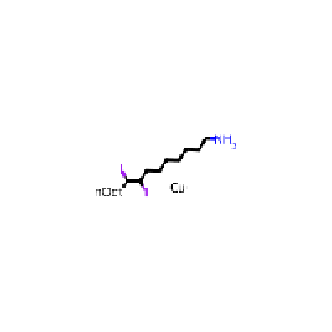 CCCCCCCCC(I)C(I)CCCCCCCN.[Cu]